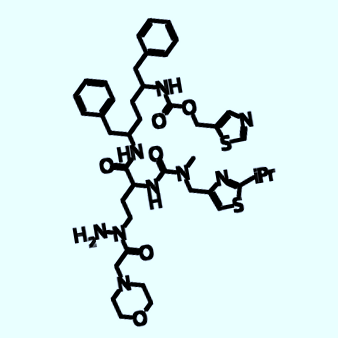 CC(C)c1nc(CN(C)C(=O)NC(CCN(N)C(=O)CN2CCOCC2)C(=O)NC(CCC(Cc2ccccc2)NC(=O)OCc2cncs2)Cc2ccccc2)cs1